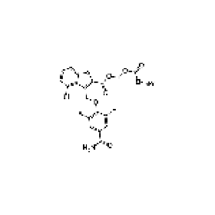 CC(C)OC(=O)OCOC(=O)c1sc2cccc(Cl)c2c1COc1c(F)cc(C(N)=O)cc1F